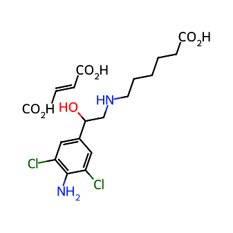 Nc1c(Cl)cc(C(O)CNCCCCCC(=O)O)cc1Cl.O=C(O)C=CC(=O)O